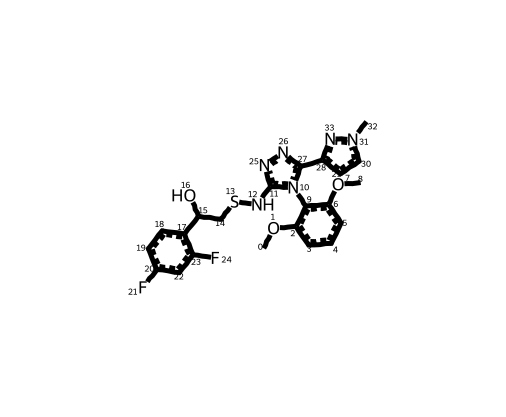 COc1cccc(OC)c1-n1c(NSCC(O)c2ccc(F)cc2F)nnc1-c1ccn(C)n1